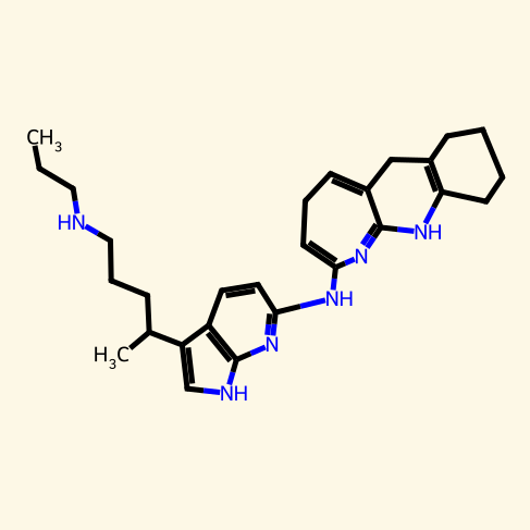 CCCNCCCC(C)c1c[nH]c2nc(NC3=CCC=C4CC5=C(CCCC5)NC4=N3)ccc12